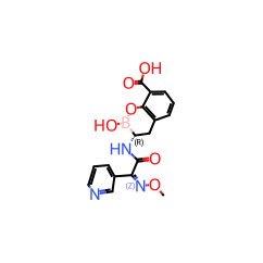 CO/N=C(\C(=O)N[C@H]1Cc2cccc(C(=O)O)c2OB1O)c1cccnc1